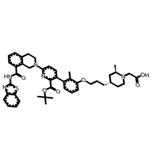 Cc1c(OCCC[C@H]2CCN(CC(=O)O)[C@H](C)C2)cccc1-c1ccc(N2CCc3cccc(C(=O)Nc4nc5ccccc5s4)c3C2)nc1C(=O)OC(C)(C)C